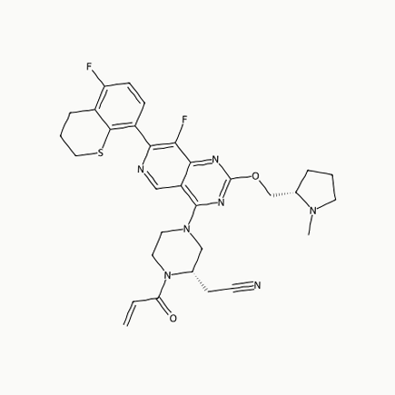 C=CC(=O)N1CCN(c2nc(OC[C@@H]3CCCN3C)nc3c(F)c(-c4ccc(F)c5c4SCCC5)ncc23)C[C@@H]1CC#N